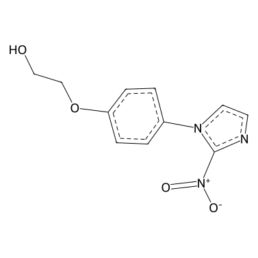 O=[N+]([O-])c1nccn1-c1ccc(OCCO)cc1